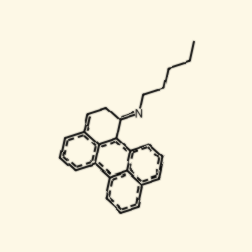 CCCCCN=C1CC=c2cccc3c2c1c1cccc2cccc3c21